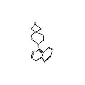 c1cc2ncnc(N3CCC4(CC3)CNC4)c2cn1